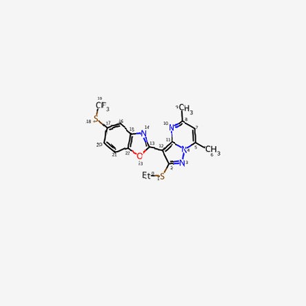 CCSc1nn2c(C)cc(C)nc2c1-c1nc2cc(SC(F)(F)F)ccc2o1